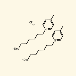 CCCCCCCCCCCCCCCC[n+]1ccc(C)cc1.CCCCCCCCCCCCCCCC[n+]1ccc(C)cc1.[Cl-].[Cl-]